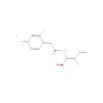 CCC(C)C(NC(=O)Cc1ccc(OC)cc1C)C(=O)O